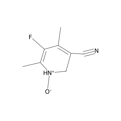 CC1=C(C#N)C[NH+]([O-])C(C)=C1F